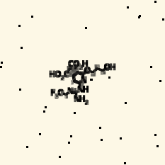 NC(=NCC(F)(F)F)Nc1cccc(OCCCO)n1.O=C(O)C=CC(=O)O